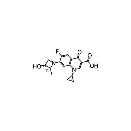 C[C@H]1[C@@H](O)CN1c1cc2c(cc1F)c(=O)c(C(=O)O)cn2C1CC1